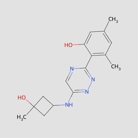 Cc1cc(C)c(-c2ncc(NC3CC(C)(O)C3)nn2)c(O)c1